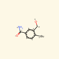 CC(C)(C)c1ccc(C(N)=O)cc1C[O]